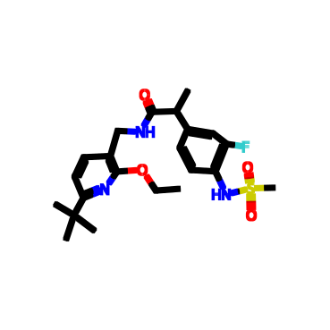 CCOc1nc(C(C)(C)C)ccc1CNC(=O)C(C)c1ccc(NS(C)(=O)=O)c(F)c1